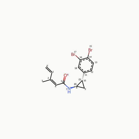 C=CC(C)=CC(=O)N[C@@H]1C[C@H]1c1ccc(Br)c(Br)c1